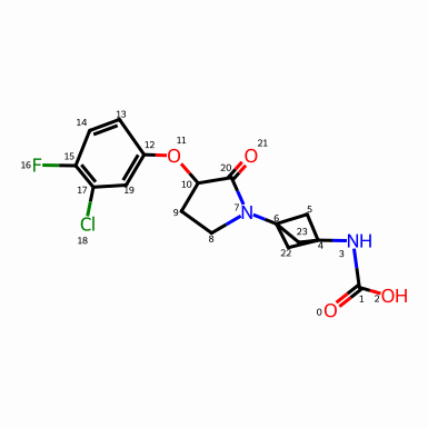 O=C(O)NC12CC(N3CCC(Oc4ccc(F)c(Cl)c4)C3=O)(C1)C2